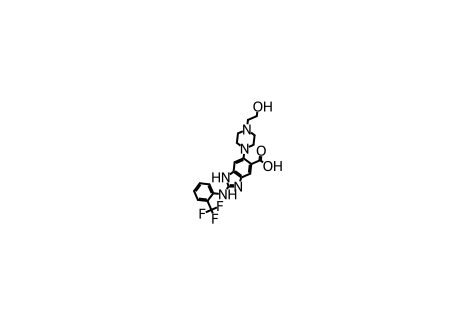 O=C(O)c1cc2nc(Nc3ccccc3C(F)(F)F)[nH]c2cc1N1CCN(CCO)CC1